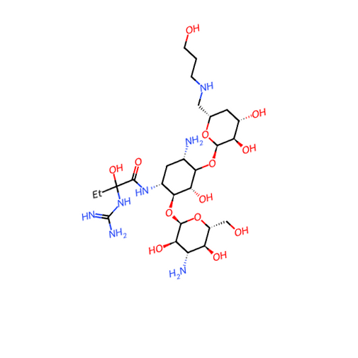 CCC(O)(NC(=N)N)C(=O)N[C@@H]1C[C@H](N)C(O[C@H]2O[C@H](CNCCCO)C[C@H](O)[C@H]2O)[C@H](O)[C@H]1O[C@H]1O[C@H](CO)[C@@H](O)[C@H](N)[C@H]1O